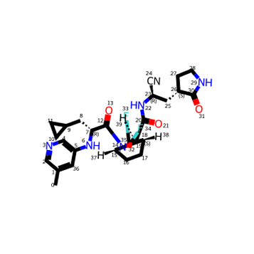 Cc1cncc(N[C@H](CC2CC2)C(=O)N2[C@H]3CC[C@@H]([C@@H]2C(=O)N[C@@H](C#N)C[C@@H]2CCNC2=O)C(F)(F)C3)c1